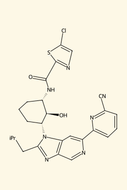 CC(C)Cc1nc2cnc(-c3cccc(C#N)n3)cc2n1[C@@H]1CCC[C@H](NC(=O)c2ncc(Cl)s2)[C@H]1O